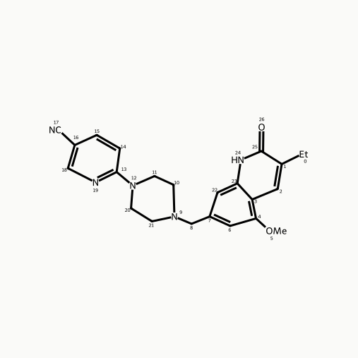 CCc1cc2c(OC)cc(CN3CCN(c4ccc(C#N)cn4)CC3)cc2[nH]c1=O